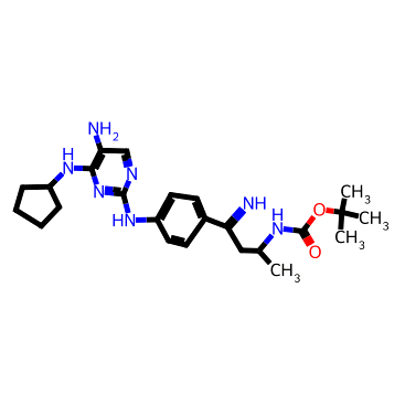 CC(CC(=N)c1ccc(Nc2ncc(N)c(NC3CCCC3)n2)cc1)NC(=O)OC(C)(C)C